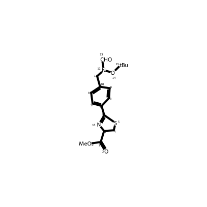 COC(=O)C1CSC(c2ccc(CN(C=O)OC(C)(C)C)cc2)=N1